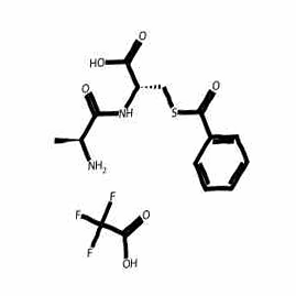 C[C@H](N)C(=O)N[C@@H](CSC(=O)c1ccccc1)C(=O)O.O=C(O)C(F)(F)F